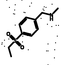 CCS(=O)(=O)c1ccc(CNC)cc1